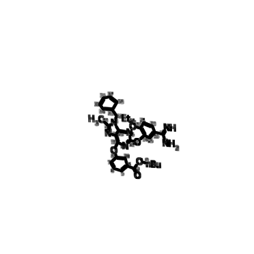 CCCCOC(=O)c1cccc(Oc2nc(Oc3cc(C(=N)N)ccc3OCC)nc3c2nc(C)n3Cc2ccccc2)c1